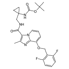 Cc1nc2c(OCc3c(F)cccc3F)cccn2c1C(=O)NCC1(NC(=O)OC(C)(C)C)CC1